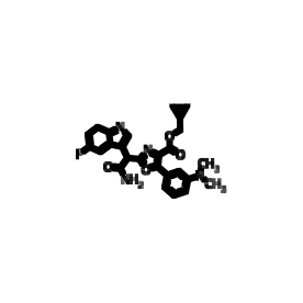 CN(C)c1cccc(-c2oc(C(C(N)=O)C3=CN=C4CC=C(F)C=C34)nc2C(=O)OCC2CC2)c1